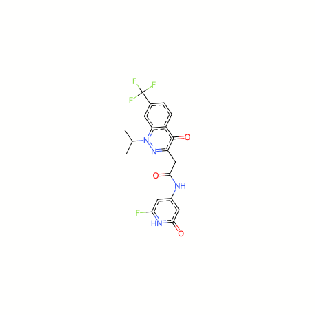 CC(C)n1nc(CC(=O)Nc2cc(F)[nH]c(=O)c2)c(=O)c2ccc(C(F)(F)F)cc21